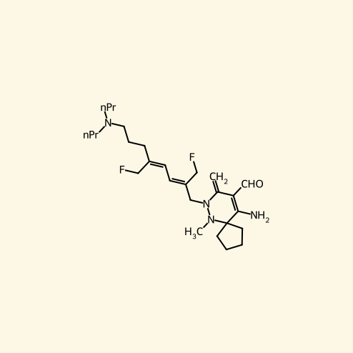 C=C1C(C=O)=C(N)C2(CCCC2)N(C)N1C/C(=C/C=C(\CF)CCCN(CCC)CCC)CF